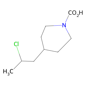 CC(Cl)CC1CCN(C(=O)O)CC1